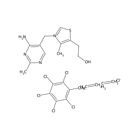 C=C.C=C.CC(=O)Oc1c(Cl)c(Cl)c(Cl)c(Cl)c1Cl.Cc1ncc(C[n+]2csc(CCO)c2C)c(N)n1.[Cl-]